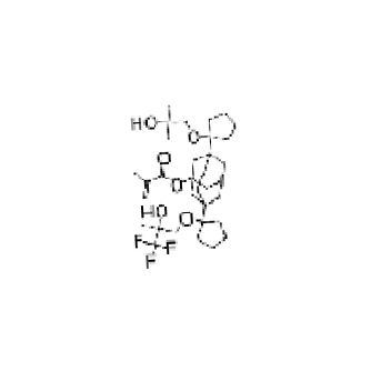 C=C(C)C(=O)OC12CC3CC(C4(OCC(C)(C)O)CCCC4)(C1)CC(C1(OCC(C)(O)C(F)(F)F)CCCC1)(C3)C2